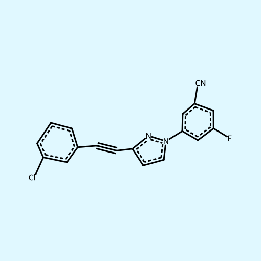 N#Cc1cc(F)cc(-n2ccc(C#Cc3cccc(Cl)c3)n2)c1